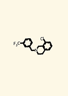 FC(F)(F)c1cccc(CN2CCc3cccc(Cl)c3C2)c1